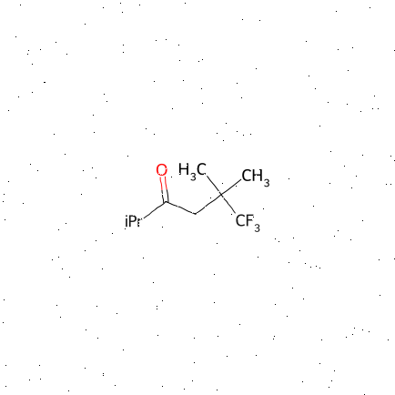 CC(C)C(=O)CC(C)(C)C(F)(F)F